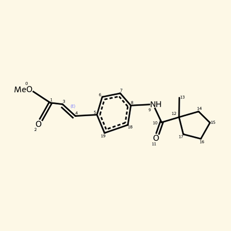 COC(=O)/C=C/c1ccc(NC(=O)C2(C)CCCC2)cc1